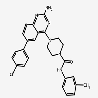 Cc1cccc(NC(=O)N2CCN(c3nc(N)nc4ccc(-c5ccc(Cl)cc5)cc34)CC2)c1